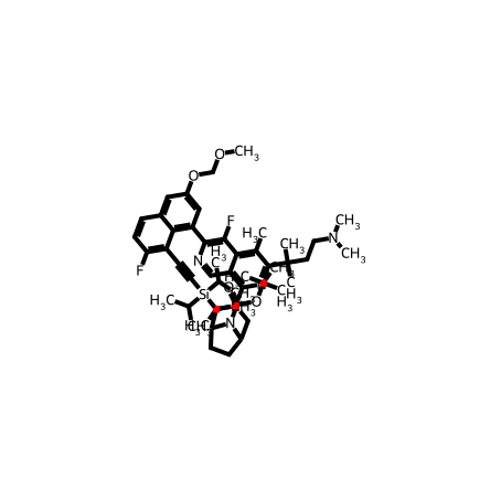 COCOc1cc(-c2ncc3c(N4CC5CCC(C4)N5C(=O)OC(C)(C)C)nc(C(C)(C)CCN(C)C)c(C)c3c2F)c2c(C#C[Si](C(C)C)(C(C)C)C(C)C)c(F)ccc2c1